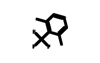 Cc1c[c]cc(C)c1C(F)(F)F